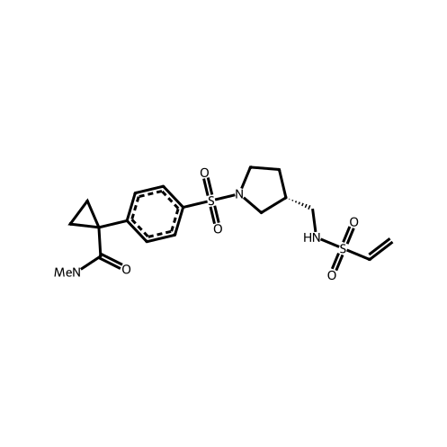 C=CS(=O)(=O)NC[C@H]1CCN(S(=O)(=O)c2ccc(C3(C(=O)NC)CC3)cc2)C1